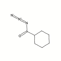 [N-]=[N+]=NC(=O)C1CCCCC1